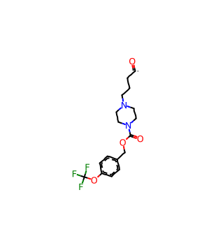 O=[C]CCCN1CCN(C(=O)OCc2ccc(OC(F)(F)F)cc2)CC1